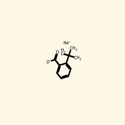 CC(C)(C)c1ccccc1C(=O)[O-].[Na+]